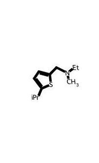 CCN(C)Cc1ccc(C(C)C)s1